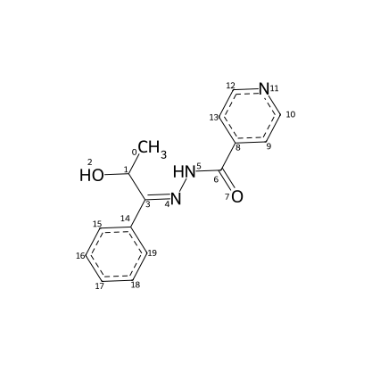 CC(O)C(=NNC(=O)c1ccncc1)c1ccccc1